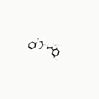 CN1C(=O)[C@@H](NC(=O)c2n[nH]c3ccc(C#N)cc23)COC2=C1CCC=C2